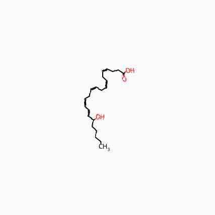 CCCCCC(O)/C=C/C=C\C/C=C\C/C=C\C/C=C\CCC(=O)O